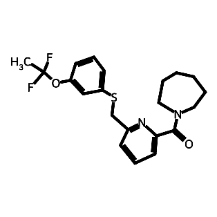 CC(F)(F)Oc1cccc(SCc2cccc(C(=O)N3CCCCCC3)n2)c1